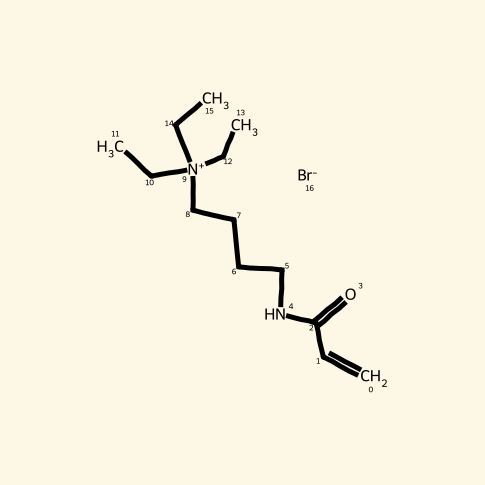 C=CC(=O)NCCCC[N+](CC)(CC)CC.[Br-]